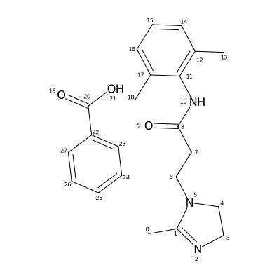 CC1=NCCN1CCC(=O)Nc1c(C)cccc1C.O=C(O)c1ccccc1